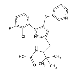 CC(C)(C)C(Cc1cc(Sc2cccnc2)n(-c2cccc(F)c2Cl)n1)NC(=O)O